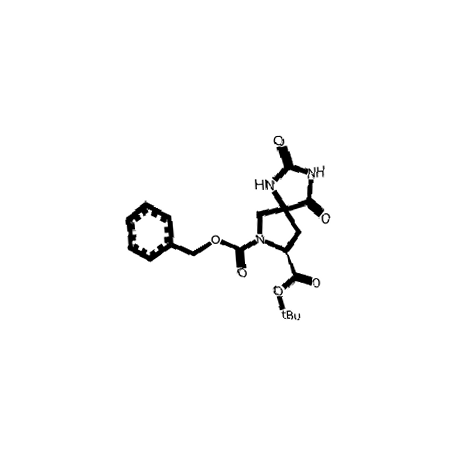 CC(C)(C)OC(=O)[C@@H]1CC2(CN1C(=O)OCc1ccccc1)NC(=O)NC2=O